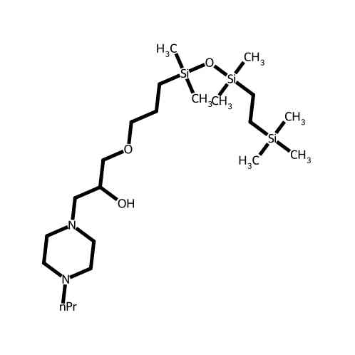 CCCN1CCN(CC(O)COCCC[Si](C)(C)O[Si](C)(C)CC[Si](C)(C)C)CC1